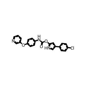 O=C(Nc1ccc(Oc2cccnc2)cc1)Oc1cc(-c2ccc(Cl)cc2)c[nH]1